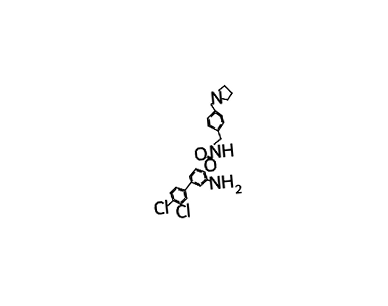 Nc1cc(-c2ccc(Cl)c(Cl)c2)ccc1OC(=O)NCCc1ccc(CN2CCCC2)cc1